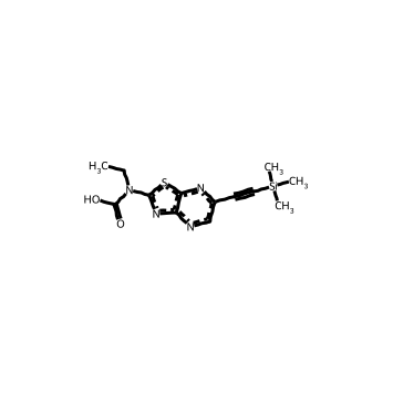 CCN(C(=O)O)c1nc2ncc(C#C[Si](C)(C)C)nc2s1